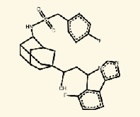 O=S(=O)(Cc1ccc(F)cc1)NC1C2CC3CC1CC(C(O)CC1c4c(F)cccc4-c4cncn41)(C3)C2